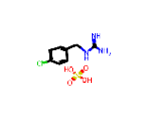 N=C(N)NCc1ccc(Cl)cc1.O=S(=O)(O)O